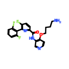 NCCCCOc1ccncc1NC(=O)c1ccc(F)c(-c2c(F)cccc2F)n1